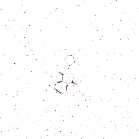 O=c1[nH]n([C@@H]2O[C@H](CO)[C@@H](O)[C@H]2O)c(=O)c2ccccc12